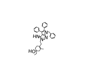 CCC1(O)CCC(CCn2cnc3c(c(-c4ccccc4)c(-c4ccccc4)n3Cc3ccccc3)c2=N)=C(C)C1